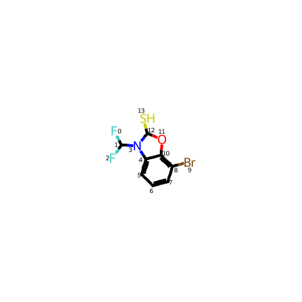 FC(F)N1c2cccc(Br)c2OC1S